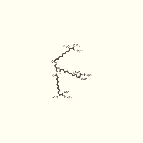 CCCCCCCC(OC)C(CCCCCCCCC(=O)OCC(COC(=O)CCCCCCCCC(OC)C(CCCCCCC)OC)OC(=O)CCCCCCCCC(OC)C(CCCCCCC)OC)OC